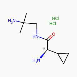 CC(C)(N)CNC(=O)[C@H](N)C1CC1.Cl.Cl